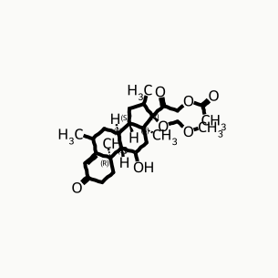 COCO[C@]1(C(=O)COC(C)=O)C(C)C[C@H]2[C@@H]3CC(C)C4=CC(=O)CC[C@]4(C)[C@H]3C(O)C[C@@]21C